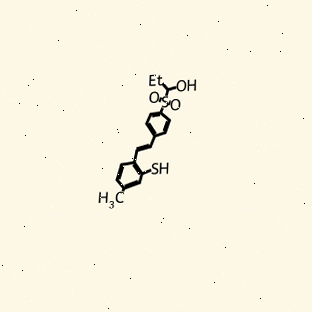 CCC(O)S(=O)(=O)c1ccc(C=Cc2ccc(C)cc2S)cc1